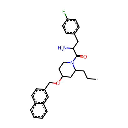 [CH2]CCC1CC(OCc2ccc3ccccc3c2)CCN1C(=O)C(N)Cc1ccc(F)cc1